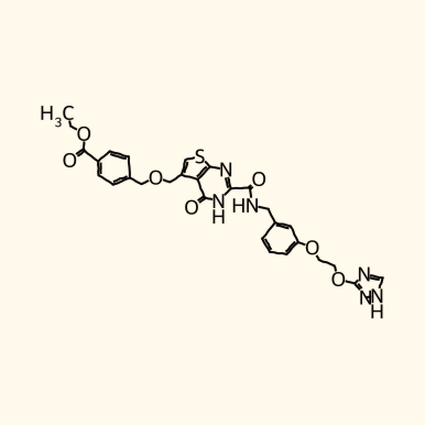 CCOC(=O)c1ccc(COCc2csc3nc(C(=O)NCc4cccc(OCCOc5nc[nH]n5)c4)[nH]c(=O)c23)cc1